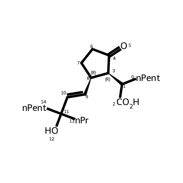 CCCCCC(C(=O)O)[C@@H]1C(=O)CC[C@@H]1C=CC(O)(CCC)CCCCC